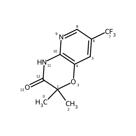 CC1(C)Oc2cc(C(F)(F)F)cnc2NC1=O